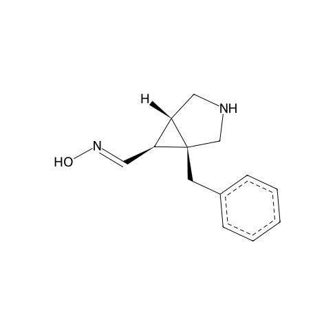 O/N=C/[C@H]1[C@@H]2CNC[C@]12Cc1ccccc1